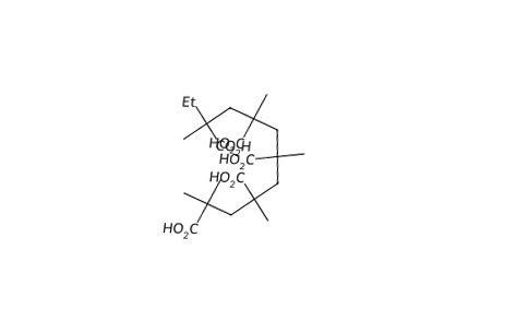 CCC(C)(CC(C)(CC(C)(CC(C)(CC(C)(C)C(=O)O)C(=O)O)C(=O)O)C(=O)O)C(=O)O